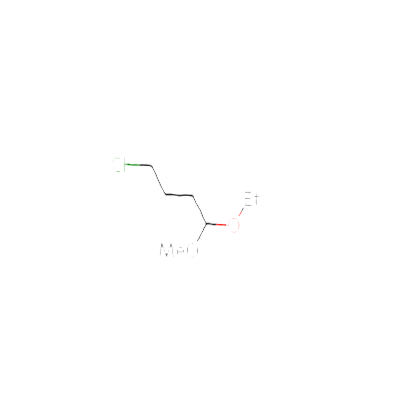 CCOC(CCCCl)OC